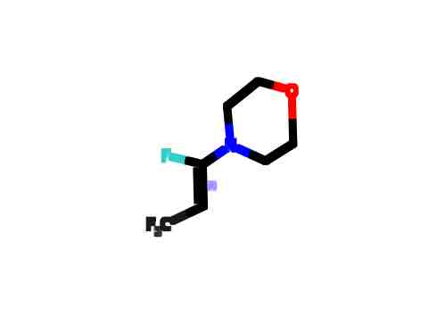 F/C(=C\C(F)(F)F)N1CCOCC1